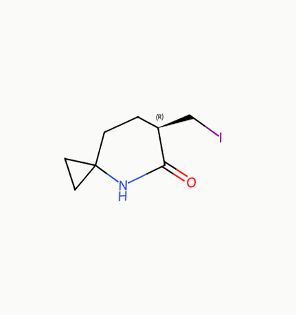 O=C1NC2(CC[C@H]1CI)CC2